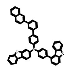 c1cc(-c2ccc(N(c3ccc(-c4cccc5sc6ccccc6c45)cc3)c3ccc4c(c3)oc3ccccc34)cc2)cc(-c2ccc3ccccc3c2)c1